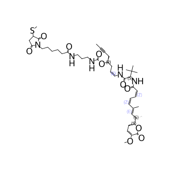 CC#CC[C@@H](C/C=C\NC(=O)[C@@H](NC(=O)\C=C/C=C\C(C)=C\[C@H](C)[C@@H]1CC=C(OC)C(=O)O1)C(C)(C)C)OC(=O)NCCCNC(=O)CCCCCN1C(=O)CC(SC)C1=O